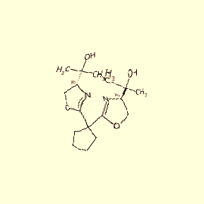 CC(C)(O)[C@H]1COC(C2(C3=N[C@@H](C(C)(C)O)CO3)CCCC2)=N1